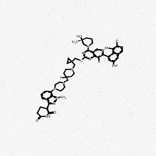 CCc1c(F)ccc2cc(O)cc(-c3ncc4c(N5CCC[C@@](C)(O)C5)nc(OCC5(CN6CCC(F)(CN7CCN(c8cccc9c(C%10CCC(=O)NC%10=O)nn(C)c89)CC7)CC6)CC5)nc4c3F)c12